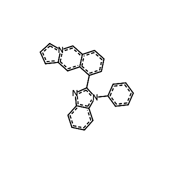 c1ccc(-n2c(-c3cccc4cn5cccc5cc34)nc3ccccc32)cc1